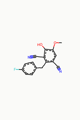 COc1cc(C#N)c(Cc2ccc(F)cc2)c(C#N)c1O